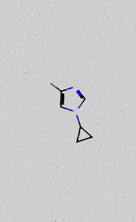 Brc1cn(C2CC2)cn1